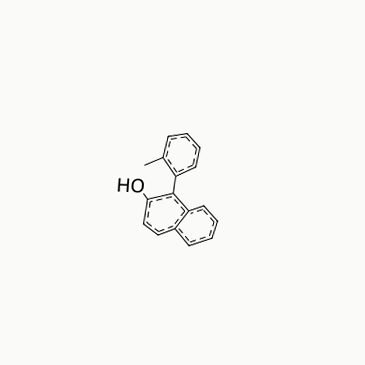 Cc1ccccc1-c1c(O)ccc2ccccc12